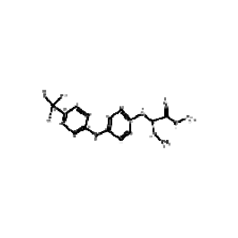 COC(=O)C(OC)Oc1ccc(Oc2ccc(C(F)(F)F)cc2)cc1